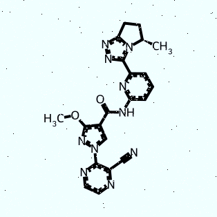 COc1nn(-c2nccnc2C#N)cc1C(=O)Nc1cccc(-c2nnc3n2[C@H](C)CC3)n1